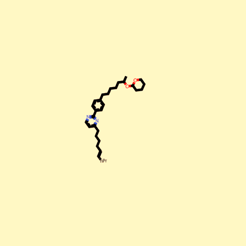 CCCC=CCCCCc1ccnc(-c2ccc(CCCCCC(C)OC3CCCCO3)cc2)n1